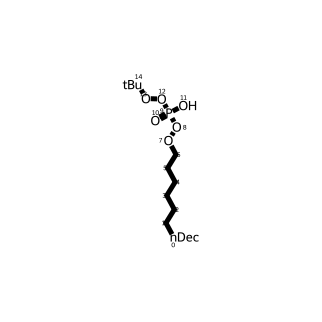 CCCCCCCCCCCCCCCCOOP(=O)(O)OOC(C)(C)C